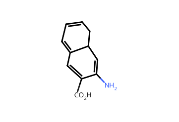 NC1=CC2CC=CC=C2C=C1C(=O)O